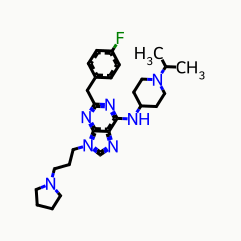 CC(C)N1CCC(Nc2nc(Cc3ccc(F)cc3)nc3c2ncn3CCCN2CCCC2)CC1